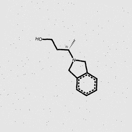 C[C@@H](CCO)N1Cc2ccccc2C1